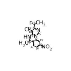 CC(F)c1ncnc(NC(C)c2ccc([N+](=O)[O-])cc2)c1Cl